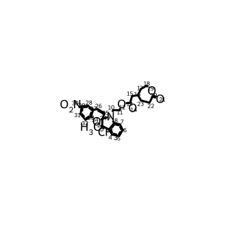 CC1(C)c2ccccc2N(CCOC(=O)CC2CCOC(=O)CC2)C12C=Cc1cc([N+](=O)[O-])ccc1O2